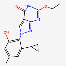 CCOc1nc2nn(-c3c(O)cc(C)cc3C3CC3)cc2c(=O)[nH]1